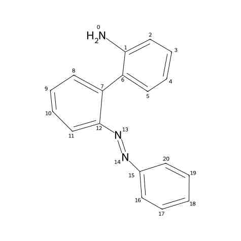 Nc1ccccc1-c1ccccc1N=Nc1ccccc1